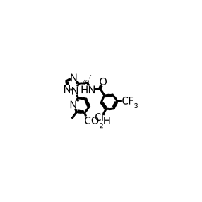 Cc1nc(-n2ncnc2[C@H](C)NC(=O)c2cc(Cl)cc(C(F)(F)F)c2)ccc1C(=O)O